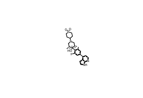 Cc1cc(-c2ccnc3[nH]ccc23)cc(F)c1[C@@]1(O)[C@H](C)CN(C2CCS(=O)(=O)CC2)C[C@@H]1C